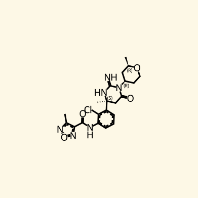 Cc1nonc1C(=O)Nc1cccc([C@]2(C)CC(=O)N([C@@H]3CCO[C@H](C)C3)C(=N)N2)c1Cl